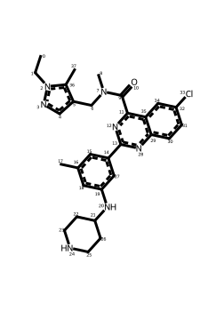 CCn1ncc(CN(C)C(=O)c2nc(-c3cc(C)cc(NC4CCNCC4)c3)nc3ccc(Cl)cc23)c1C